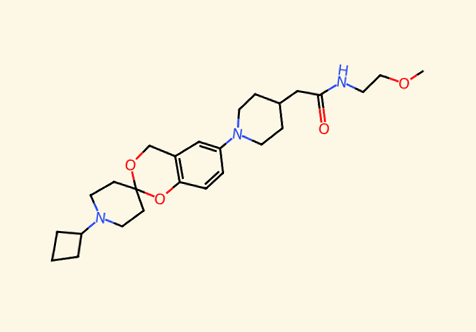 COCCNC(=O)CC1CCN(c2ccc3c(c2)COC2(CCN(C4CCC4)CC2)O3)CC1